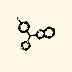 Fc1ccc(C(c2cc3ccccc3o2)n2ccnc2)cc1